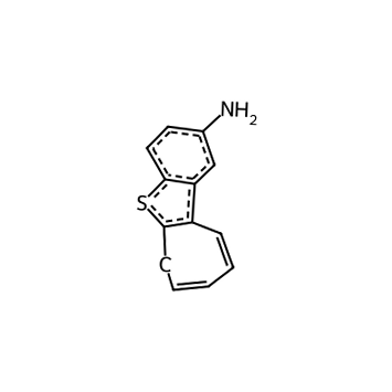 Nc1ccc2sc3c(c2c1)C=CC=CC3